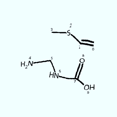 C=CSC.NCNC(=O)O